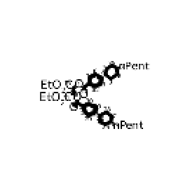 CCCCC[C@H]1CC[C@H](c2ccc(C(=O)O[C@@H](C(=O)OCC)[C@@H](OC(=O)c3ccc([C@H]4CC[C@H](CCCCC)CC4)cc3)C(=O)OCC)cc2)CC1